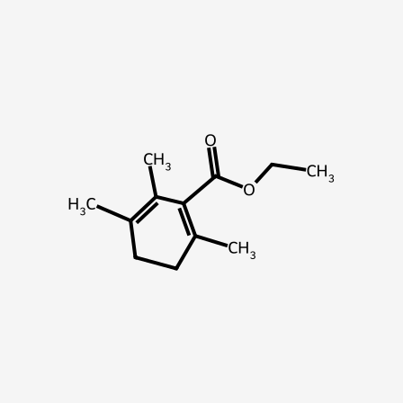 CCOC(=O)C1=C(C)CCC(C)=C1C